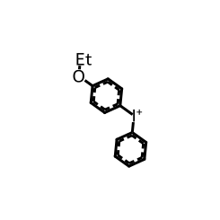 CCOc1ccc([I+]c2ccccc2)cc1